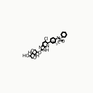 C[S@@](=O)(=Nc1ccc(-c2nc3[nH]c(O[C@@H]4CO[C@H]5[C@@H]4OC[C@H]5O)nc3cc2Cl)cc1)c1ccccc1